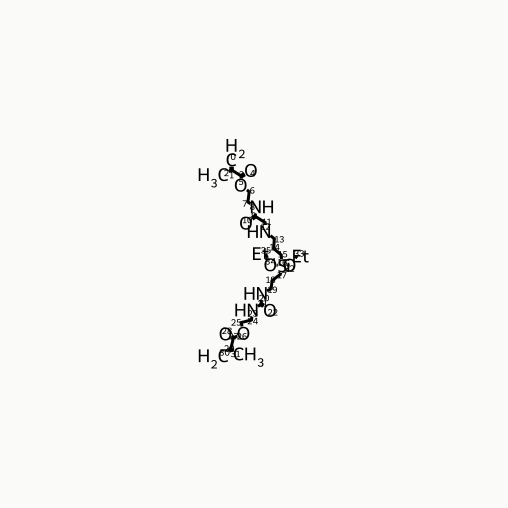 C=C(C)C(=O)OCCNC(=O)CNCCC[Si](CCCNC(=O)NCCOC(=O)C(=C)C)(OCC)OCC